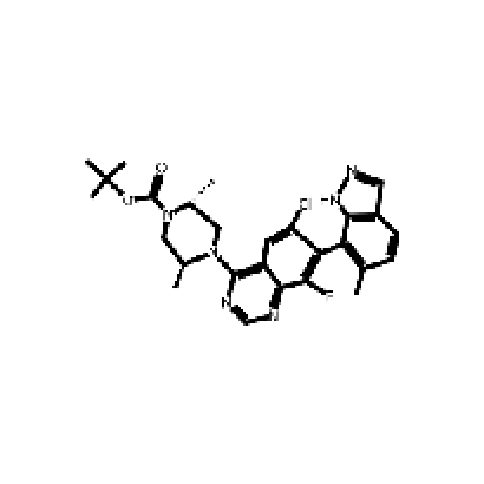 Cc1ccc2cn[nH]c2c1-c1c(Cl)cc2c(N3C[C@@H](C)N(C(=O)OC(C)(C)C)C[C@@H]3C)ncnc2c1F